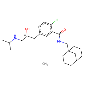 CC(C)NC[C@H](O)Cc1ccc(Cl)c(C(=O)NCC23CCCC(CCC2)C3)c1.[CH2]